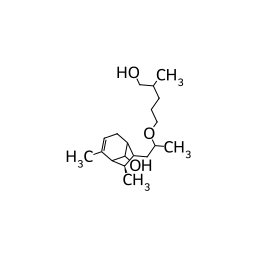 CC1=CCC2C(O)C1[C@H](C)C2CC(C)OCCCC(C)CO